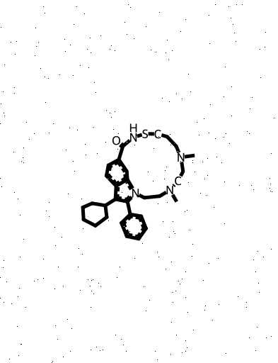 CN1CCCSNC(=O)c2ccc3c(C4CCCCC4)c(-c4ccccc4)n(c3c2)CCN(C)CC1